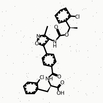 Cc1noc(-c2ccc(C(=O)N[C@H](Cc3ccccc3Cl)C(=O)O)cc2)c1NC(=O)O[C@H](C)c1ccccc1Cl